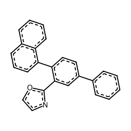 c1ccc(-c2ccc(-c3cccc4ccccc34)c(-c3ncco3)c2)cc1